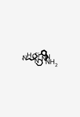 CN(C)C/C=C/C(=O)N1CCCCC(n2c(N)nc3cccc([SiH3])c32)C1